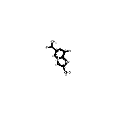 CC(F)c1cc(Br)c2nc(C=O)cn2c1